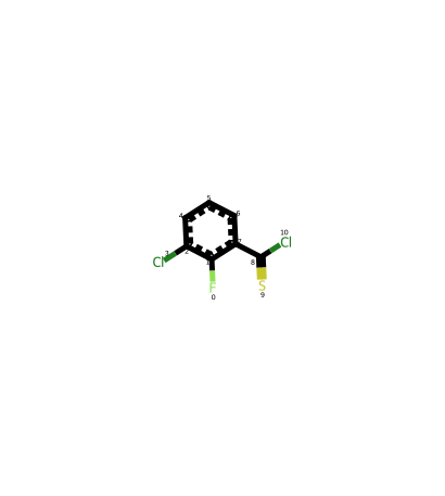 Fc1c(Cl)cccc1C(=S)Cl